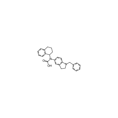 O=C(O)N(c1ccc2c(c1)CCN2Cc1ccccc1)C1CCCc2ccccc21